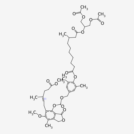 COC(=O)CC/C(C)=C/Cc1c(OC)c(C)c2c(c1OC(=O)OCc1cc(C)c(OC(=O)CCCCCCC(C)CC(=O)OC(COC(C)=O)COC(C)=O)c(C)c1)C(=O)OC2